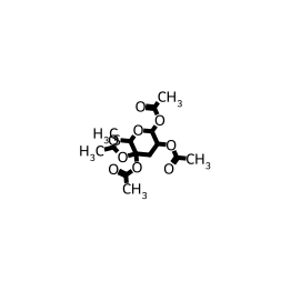 CSC1OC(OC(C)=O)C(OC(C)=O)CC1(OC(C)=O)OC(C)=O